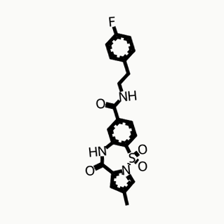 Cc1cc2n(c1)S(=O)(=O)c1ccc(C(=O)NCCc3ccc(F)cc3)cc1NC2=O